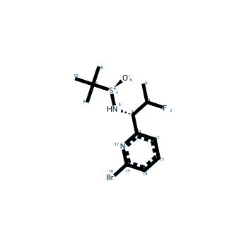 CC(F)[C@@H](N[S@+]([O-])C(C)(C)C)c1cccc(Br)n1